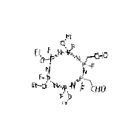 CCOP1(F)=NP(F)(CC=O)=NP(F)(CC=O)=NP(F)(OCC)=NP(F)(OCC)=NP(F)(OCC)=N1